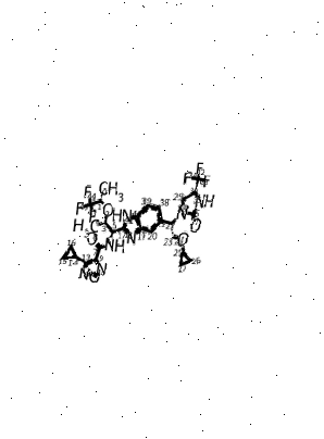 C[C@H](O[C@H](C)[C@H](NC(=O)c1nonc1C1CC1)c1nc2cc([C@@H](COC3CC3)N3C[C@@H](C(F)(F)F)NC3=O)ccc2[nH]1)C(F)(F)F